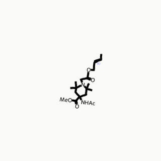 C/C=C/COC(=O)CN1C(C)(C)CC(NC(C)=O)(C(=O)OC)CC1(C)C